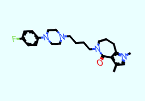 Cc1cn(C)c2c1C(=O)N(CCCCN1CCN(c3ccc(F)cc3)CC1)CCC2